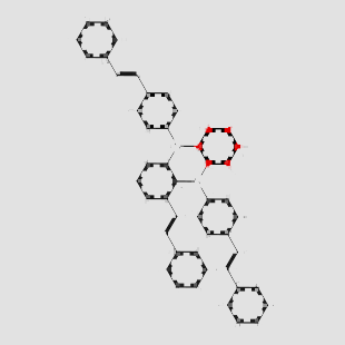 C(=Cc1ccc(N(c2ccccc2)c2cccc(C=Cc3ccccc3)c2N(c2ccccc2)c2ccc(C=Cc3ccccc3)cc2)cc1)c1ccccc1